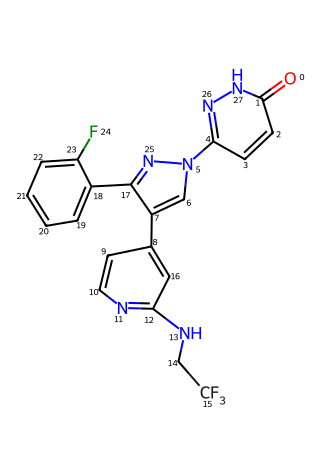 O=c1ccc(-n2cc(-c3ccnc(NCC(F)(F)F)c3)c(-c3ccccc3F)n2)n[nH]1